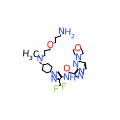 CN(CCCOCCCN)C[C@H]1CC[C@H](n2cc(NC(=O)c3cnn4ccc(N5CCOCC5)nc34)c(C(F)F)n2)CC1